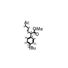 COC(=O)C(SCCC(C)=O)c1ccc(C(C)(C)C)cc1